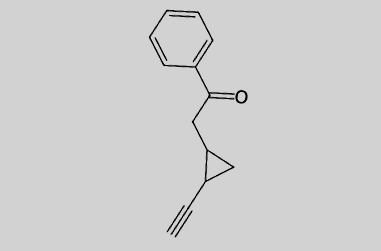 C#CC1CC1CC(=O)c1ccccc1